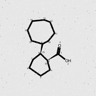 O=C(O)[C@H]1CCCC[C@H]1C1CCCCCCC1